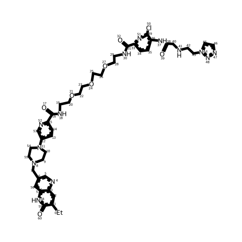 CCc1cc2ncc(CN3CCN(c4ccc(C(=O)NCCOCCOCCOCCNC(=O)c5ccc(NC(=O)CNCCn6ccnn6)c(Cl)n5)nc4)CC3)cc2[nH]c1=O